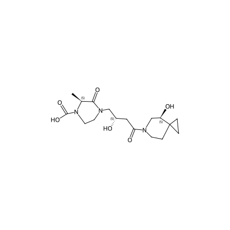 C[C@H]1C(=O)N(C[C@@H](O)CC(=O)N2CCC3(CC3)[C@H](O)C2)CCN1C(=O)O